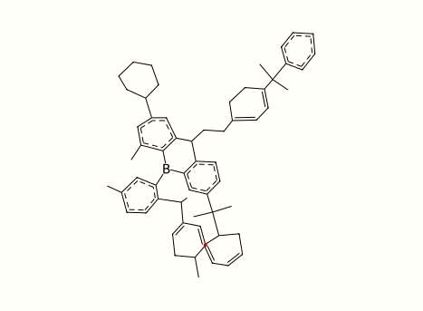 Cc1ccc(C(C)C2=CCC(C)C=C2)c(B2c3cc(C(C)(C)C4C=CC=CC4)ccc3C(CCC3=CC=C(C(C)(C)c4ccccc4)CC3)c3cc(C4CCCCC4)cc(C)c32)c1